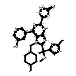 COC(C)(c1csc(C)n1)c1nc2nc(-c3n[nH]c(=O)o3)nc(-c3cncc(Cl)c3)c2n1CC1CCC(C)CC1